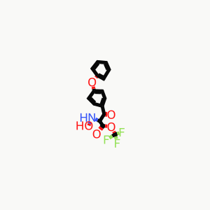 O=C(OC(F)(F)F)C(NO)C(=O)c1ccc(Oc2ccccc2)cc1